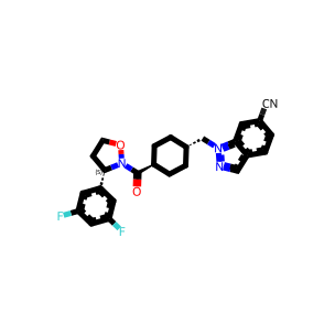 N#Cc1ccc2cnn(C[C@H]3CC[C@H](C(=O)N4OCC[C@H]4c4cc(F)cc(F)c4)CC3)c2c1